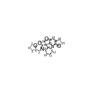 O=C1N(C[C@H]2CCCO2)c2ccccc2C12COc1cc3c(cc12)OCC3